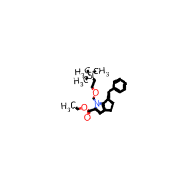 CCOC(=O)c1cc2c(n1COCC[Si](C)(C)C)C(=Cc1ccccc1)CC2